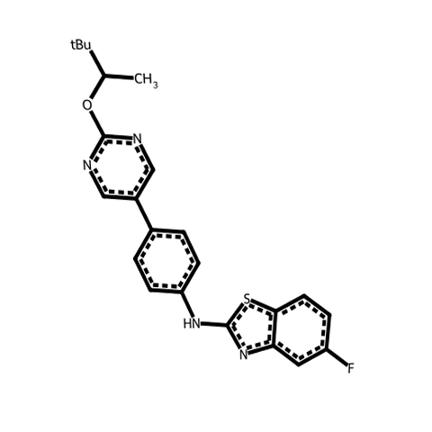 CC(Oc1ncc(-c2ccc(Nc3nc4cc(F)ccc4s3)cc2)cn1)C(C)(C)C